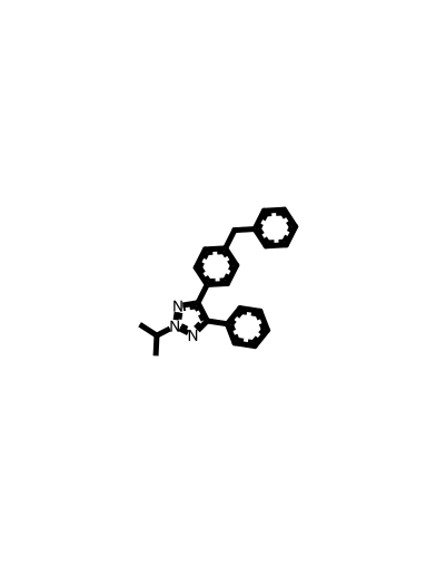 CC(C)n1nc(-c2ccccc2)c(-c2ccc(Cc3ccccc3)cc2)n1